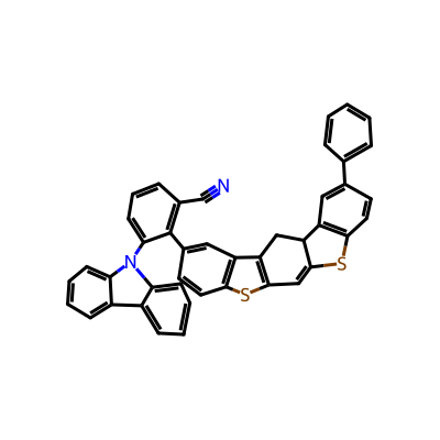 N#Cc1cccc(-n2c3ccccc3c3ccccc32)c1-c1ccc2sc3c(c2c1)CC1C(=C3)Sc2ccc(-c3ccccc3)cc21